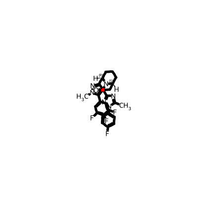 Cc1nc(C(=O)N2[C@H]3CCC[C@@H]2c2nn(C)c(-c4cc(F)c(F)c(F)c4)c2C3)nn1-c1ccc(F)cc1